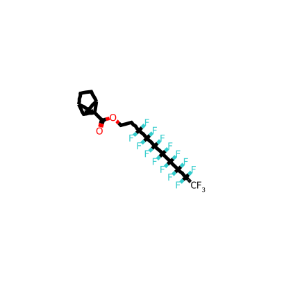 O=C(OCCC(F)(F)C(F)(F)C(F)(F)C(F)(F)C(F)(F)C(F)(F)C(F)(F)C(F)(F)F)C1=CC2CCC1C2